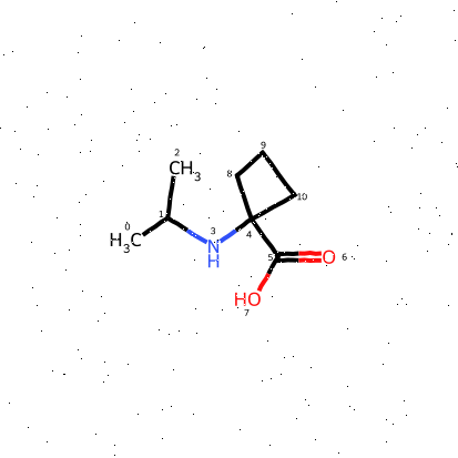 CC(C)NC1(C(=O)O)CCC1